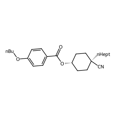 CCCCCCC[C@]1(C#N)CC[C@H](OC(=O)c2ccc(OCCCC)cc2)CC1